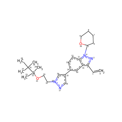 C=Cc1nn(C2CCCCO2)c2ccc(-c3cnn(CCO[Si](C)(C)C(C)(C)C)c3)cc12